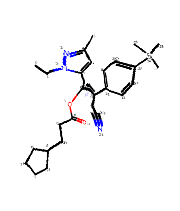 CCn1nc(C)cc1/C(OC(=O)CCC1CCCC1)=C(/C#N)c1ccc([Si](C)(C)C)cc1